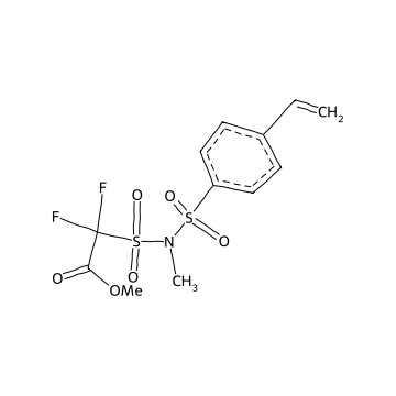 C=Cc1ccc(S(=O)(=O)N(C)S(=O)(=O)C(F)(F)C(=O)OC)cc1